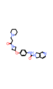 O=C(CCN1CCCCC1)N1CC(Oc2ccc(NC(=O)N3Cc4ccncc4C3)cc2)C1